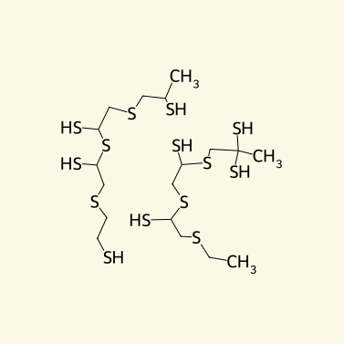 CC(S)CSCC(S)SC(S)CSCCS.CCSCC(S)SCC(S)SCC(C)(S)S